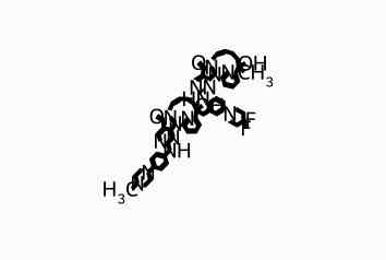 CN1CCN(c2ccc(Nc3ncc4c(=O)n5n(c4n3)-c3cccc(n3)C(O)(Cc3cc(N4CCC(F)(F)CC4)ccc3Nc3ncc4c(=O)n6n(c4n3)-c3cccc(n3)C(C)(O)CC/C=C\C6)CC/C=C\C5)cc2)CC1